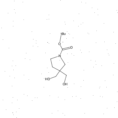 CC(C)(C)OC(=O)N1CCC(CO)(CO)C1